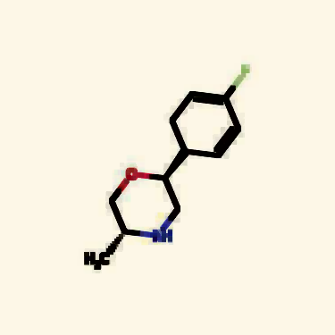 C[C@@H]1CO[C@@H](C2C=CC(F)=CC2)CN1